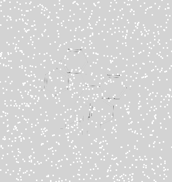 CC[Si](CC)(CC)OC(c1ccccc1)(c1ccccc1)C(c1ccccc1)c1ccccc1